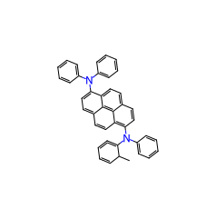 CC1C=CC=C=C1N(c1ccccc1)c1ccc2ccc3c(N(c4ccccc4)c4ccccc4)ccc4ccc1c2c43